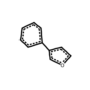 [c]1cccc(-c2ccoc2)c1